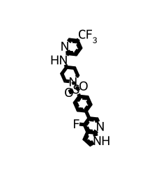 O=S(=O)(c1ccc(-c2cnc3[nH]ccc3c2F)cc1)N1CCC(Nc2ccc(C(F)(F)F)cn2)CC1